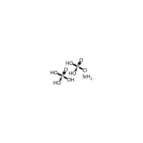 O=P(O)(O)Cl.O=P(O)(O)O.[SrH2]